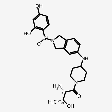 C[C@@H](O)[C@H](N)C(=O)N1CCC(Nc2ccc3c(c2)CN([S+]([O-])c2ccc(O)cc2O)C3)CC1